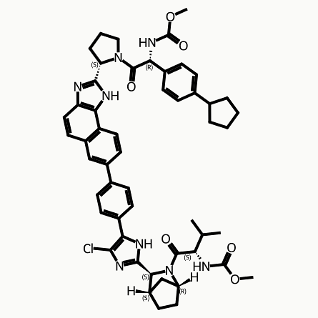 COC(=O)N[C@H](C(=O)N1[C@@H]2CC[C@@H](C2)[C@H]1c1nc(Cl)c(-c2ccc(-c3ccc4c(ccc5nc([C@@H]6CCCN6C(=O)[C@H](NC(=O)OC)c6ccc(C7CCCC7)cc6)[nH]c54)c3)cc2)[nH]1)C(C)C